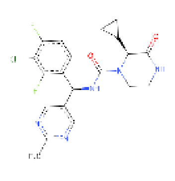 O=C1NCCN(C(=O)N[C@@H](c2cnc(C(F)(F)F)nc2)c2ccc(F)c(Cl)c2F)[C@H]1C1CC1